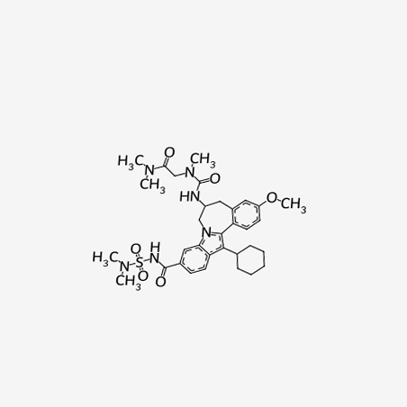 COc1ccc2c(c1)CC(NC(=O)N(C)CC(=O)N(C)C)Cn1c-2c(C2CCCCC2)c2ccc(C(=O)NS(=O)(=O)N(C)C)cc21